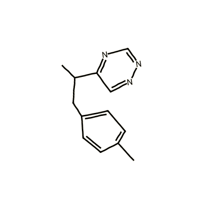 Cc1ccc(CC(C)c2cnncn2)cc1